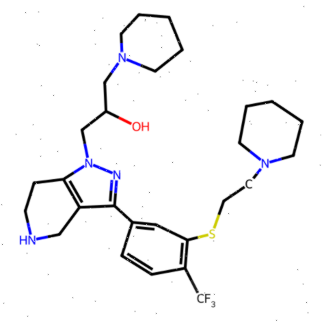 OC(CN1CCCCC1)Cn1nc(-c2ccc(C(F)(F)F)c(SCCN3CCCCC3)c2)c2c1CCNC2